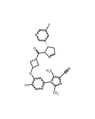 Cc1nc(C#N)c(C)n1-c1cc(OC2CN(C(=O)N3N=CC[C@H]3c3cncc(F)c3)C2)c(F)cn1